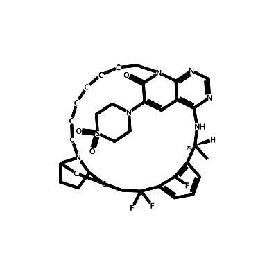 C[C@H]1Nc2ncnc3c2cc(N2CCS(=O)(=O)CC2)c(=O)n3CCCCCCCN2C3CCC2CC(C3)C(F)(F)c2cccc1c2F